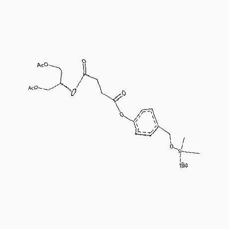 CC(=O)OCC(COC(C)=O)OC(=O)CCC(=O)Oc1ccc(CO[Si](C)(C)C(C)(C)C)cc1